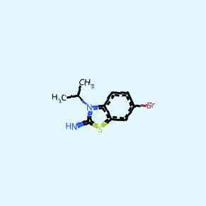 CC(C)n1c(=N)sc2cc(Br)ccc21